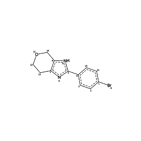 Brc1ccc(-c2nc3c([nH]2)COCC3)cc1